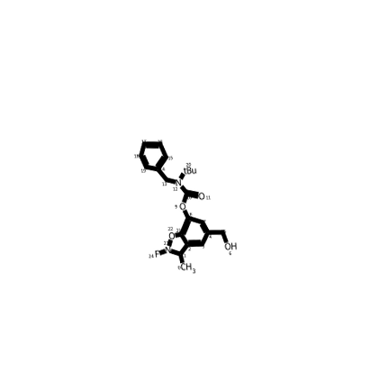 CC1c2cc(CO)cc(OC(=O)N(Cc3ccccc3)C(C)(C)C)c2ON1F